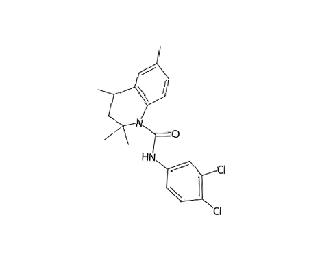 Cc1ccc2c(c1)C(C)CC(C)(C)N2C(=O)Nc1ccc(Cl)c(Cl)c1